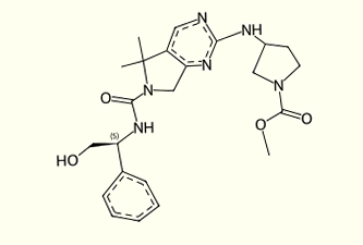 COC(=O)N1CCC(Nc2ncc3c(n2)CN(C(=O)N[C@H](CO)c2ccccc2)C3(C)C)C1